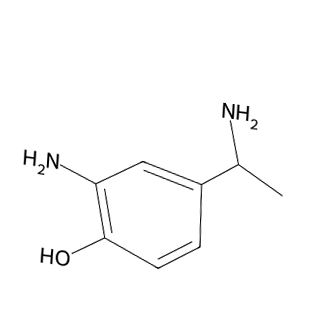 CC(N)c1ccc(O)c(N)c1